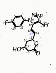 CC(C)c1nnn(-c2ccc(F)cc2)c1/C=C/C1CC(O)CC(=O)O1